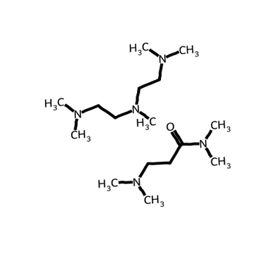 CN(C)CCC(=O)N(C)C.CN(C)CCN(C)CCN(C)C